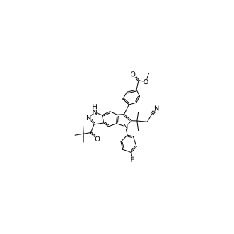 COC(=O)c1ccc(-c2c(C(C)(C)CC#N)n(-c3ccc(F)cc3)c3cc4c(C(=O)C(C)(C)C)n[nH]c4cc23)cc1